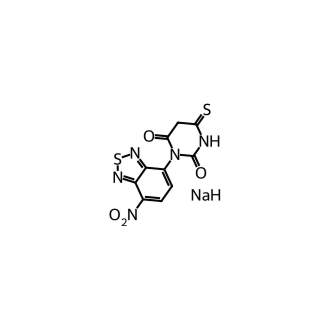 O=C1CC(=S)NC(=O)N1c1ccc([N+](=O)[O-])c2nsnc12.[NaH]